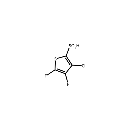 O=S(=O)(O)c1sc(F)c(F)c1Cl